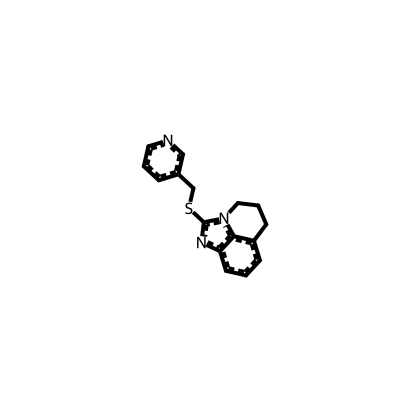 c1cncc(CSc2nc3cccc4c3n2CCC4)c1